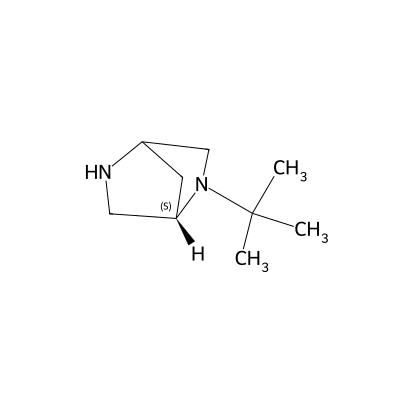 CC(C)(C)N1CC2C[C@H]1CN2